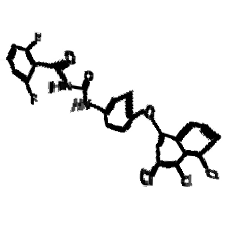 O=C(NC(=O)c1c(F)cccc1F)Nc1ccc(Oc2cc(Cl)c(Cl)c3c(Cl)cccc23)cc1